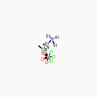 CC#N.CC#N.CC[N+](CC)(CC)CC.[O]=[V](=[O])([O-])([Cl])([Cl])([Cl])[Cl]